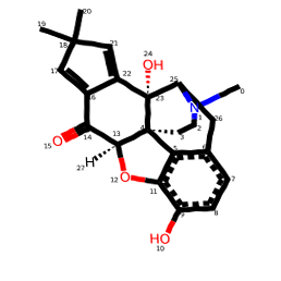 CN1CC[C@]23c4c5ccc(O)c4O[C@H]2C(=O)C2=CC(C)(C)C=C2[C@@]3(O)C1C5